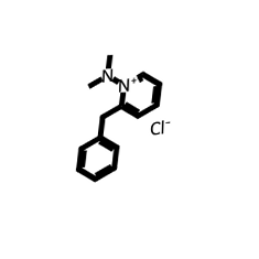 CN(C)[n+]1ccccc1Cc1ccccc1.[Cl-]